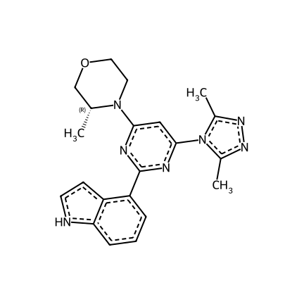 Cc1nnc(C)n1-c1cc(N2CCOC[C@H]2C)nc(-c2cccc3[nH]ccc23)n1